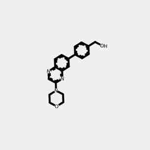 OCc1ccc(-c2ccc3ncc(N4CCOCC4)nc3c2)cc1